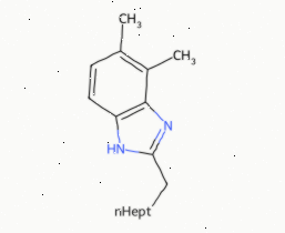 CCCCCCCCc1nc2c(C)c(C)ccc2[nH]1